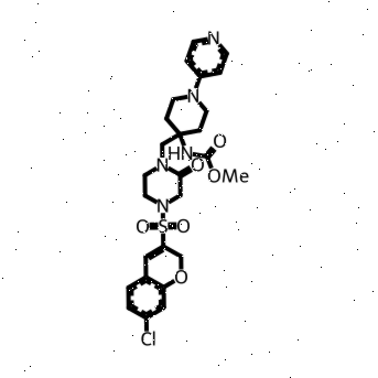 COC(=O)NC1(CN2CCN(S(=O)(=O)C3=Cc4ccc(Cl)cc4OC3)CC2=O)CCN(c2ccncc2)CC1